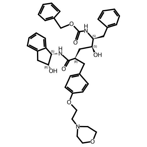 O=C(N[C@@H](Cc1ccccc1)[C@@H](O)C[C@@H](Cc1ccc(OCCN2CCOCC2)cc1)C(=O)N[C@H]1c2ccccc2C[C@H]1O)OCc1ccccc1